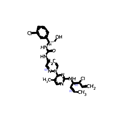 C=C/C(Cl)=C(\C=C/C)Nc1ncc(C)c(N(C=C)/N=C\CNC(=O)N[C@@H](CO)c2cccc(Cl)c2)n1